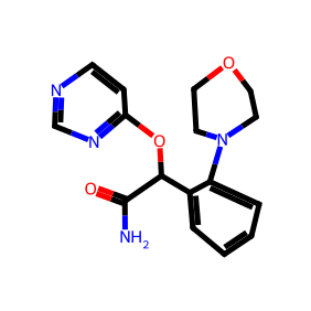 NC(=O)C(Oc1ccncn1)c1ccccc1N1CCOCC1